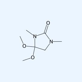 COC1(OC)CN(C)C(=O)N1C